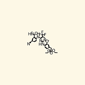 CCOP(=O)(Cc1ccc(Nc2ncc(C(F)(F)F)c(Nc3ccc(C#N)cc3C(=O)NC)n2)c(OC)c1)OCC